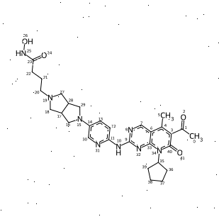 CC(=O)c1c(C)c2cnc(Nc3ccc(N4CC5CN(CCCC(=O)NO)CC5C4)cn3)nc2n(C2CCCC2)c1=O